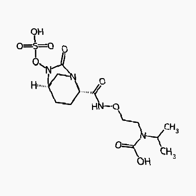 CC(C)N(CCONC(=O)[C@@H]1CC[C@@H]2CN1C(=O)N2OS(=O)(=O)O)C(=O)O